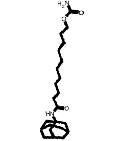 NC(=O)OCCCCCCCCCCC(=O)NC12CC3CC(CC(C3)C1)C2